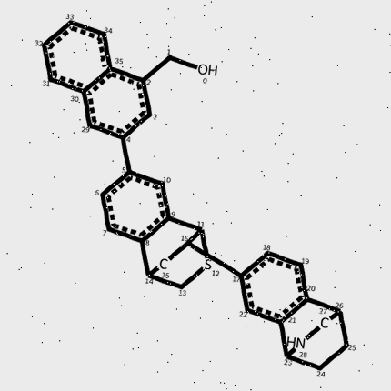 OCc1cc(-c2ccc3c(c2)C2SCC3CC2c2ccc3c(c2)C2CCC3CN2)cc2ccccc12